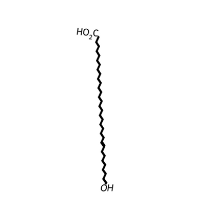 O=C(O)CCCCCCCCCCCCCCCCCCCCCCCC=CCCCCCCCCO